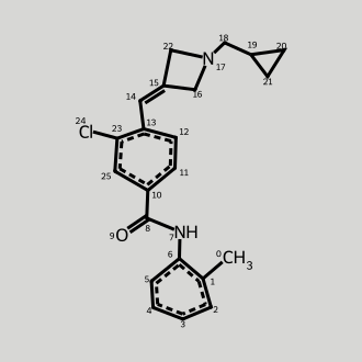 Cc1ccccc1NC(=O)c1ccc(C=C2CN(CC3CC3)C2)c(Cl)c1